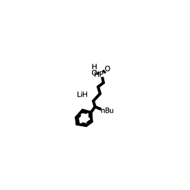 CCCCC(CCCC[PH](=O)O)c1ccccc1.[LiH]